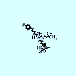 CC(C)CCNC(=O)[C@H](CCCNC(=N)N[N+](=O)[O-])NC(=O)CCCCc1ccc(F)cc1